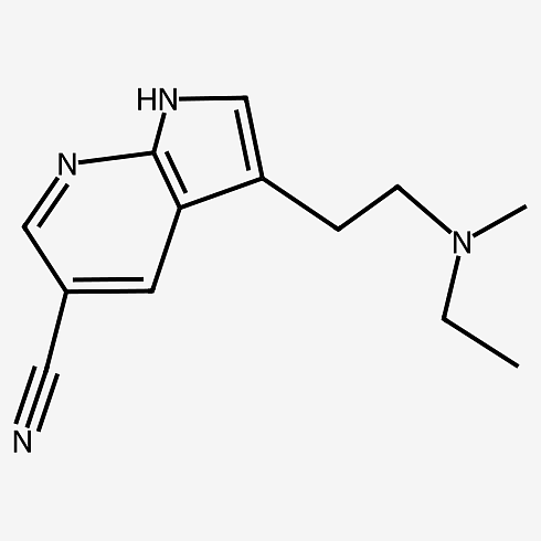 CCN(C)CCc1c[nH]c2ncc(C#N)cc12